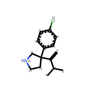 C=C(C(C)C)C1(c2ccc(Cl)cc2)CCNC1